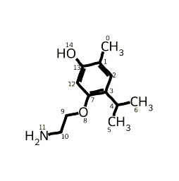 Cc1cc(C(C)C)c(OCCN)cc1O